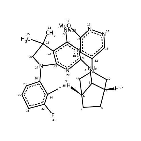 CNc1nc(NC2[C@@H]3CC[C@H]2CN(c2cnnc(OC)c2)C3)nc2c1C(C)(C)CN2c1cccc(F)c1F